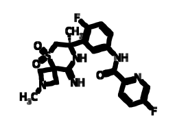 CN1CC2(C1)C(=N)N[C@](C)(c1cc(NC(=O)c3ccc(F)cn3)ccc1F)CS2(=O)=O